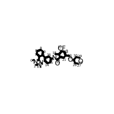 Cn1cnnc1-c1ccccc1-c1cccc(N2Cc3c(cc(COC4CCOCC4)cc3C(F)(F)F)C2=O)c1